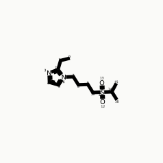 CCc1nccn1CCCCS(=O)(=O)C(C)C